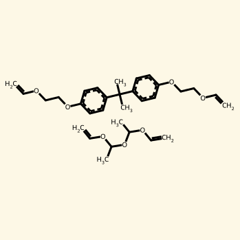 C=COC(C)OC(C)OC=C.C=COCCOc1ccc(C(C)(C)c2ccc(OCCOC=C)cc2)cc1